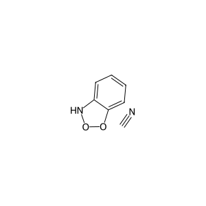 C#N.c1ccc2c(c1)NOO2